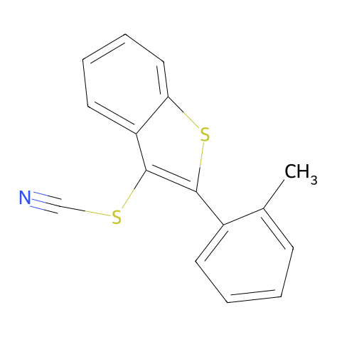 Cc1ccccc1-c1sc2ccccc2c1SC#N